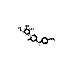 Nc1ccc(Nc2ccn([C@@H]3O[C@H](CO)[C@@H](O)[C@H]3O)c(=S)n2)cc1